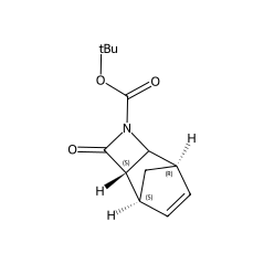 CC(C)(C)OC(=O)N1C(=O)[C@@H]2C1[C@H]1C=C[C@@H]2C1